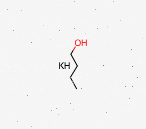 CCCCO.[KH]